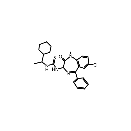 CC(NC(=S)NC1N=C(c2ccccc2)c2cc(Cl)ccc2N(C)C1=O)C1CCCCC1